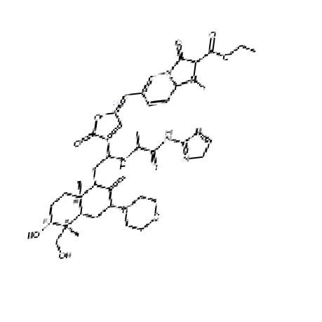 C=C1C(N2CCOCC2)CC2[C@](C)(CC[C@@H](O)[C@@]2(C)CO)C1CC(NC(C)C(=O)NC1=NCC=N1)C1=C/C(=C\C2=CN3C(=O)C(C(=O)OCC)N(C)C3C=C2)OC1=O